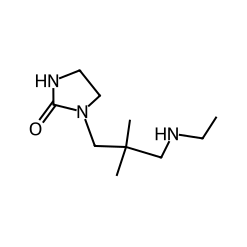 CCNCC(C)(C)CN1CCNC1=O